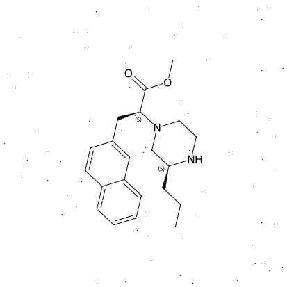 CCC[C@H]1CN([C@@H](Cc2ccc3ccccc3c2)C(=O)OC)CCN1